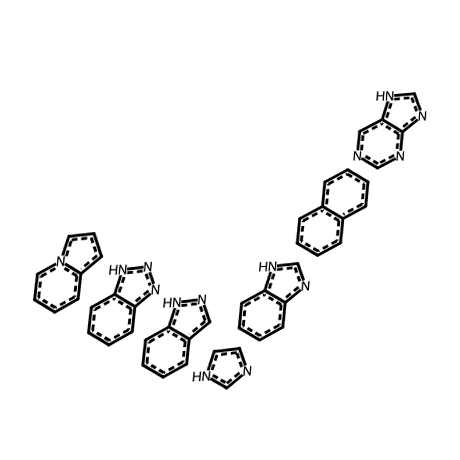 c1c[nH]cn1.c1ccc2[nH]cnc2c1.c1ccc2[nH]ncc2c1.c1ccc2[nH]nnc2c1.c1ccc2ccccc2c1.c1ccn2cccc2c1.c1ncc2[nH]cnc2n1